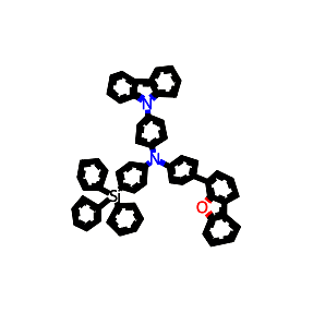 c1ccc([Si](c2ccccc2)(c2ccccc2)c2ccc(N(c3ccc(-c4cccc5c4oc4ccccc45)cc3)c3ccc(-n4c5ccccc5c5ccccc54)cc3)cc2)cc1